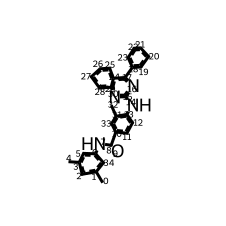 Cc1cc(C)cc(NC(=O)c2ccc(Nc3nc(-c4ccccc4)c4ccccc4n3)c(C)c2)c1